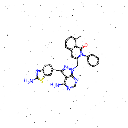 Cc1cccc2cc(Cn3nc(-c4ccc5nc(N)sc5c4)c4c(N)ncnc43)n(-c3ccccc3)c(=O)c12